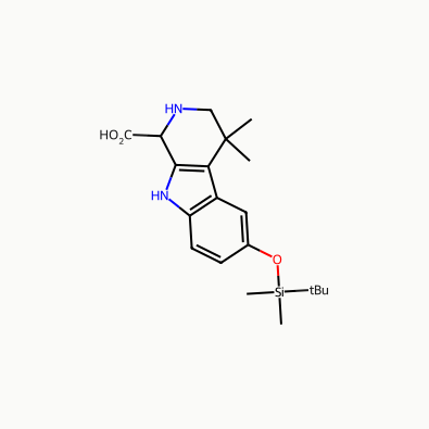 CC1(C)CNC(C(=O)O)c2[nH]c3ccc(O[Si](C)(C)C(C)(C)C)cc3c21